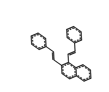 C(=Cc1ccc2ccccc2c1C=Cc1ccccc1)c1ccccc1